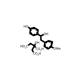 COc1ccc(CC(O)c2ccc(O)cc2)cc1.O=C(O)CC(O)(CC(=O)O)C(=O)O